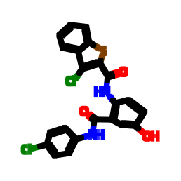 O=C(Nc1ccc(Cl)cc1)c1cc(O)ccc1NC(=O)c1sc2ccccc2c1Cl